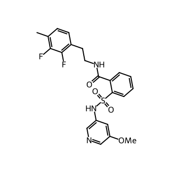 COc1cncc(NS(=O)(=O)c2ccccc2C(=O)NCCc2ccc(C)c(F)c2F)c1